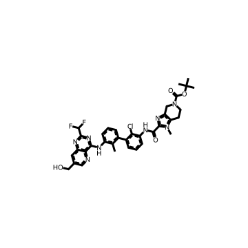 Cc1c(Nc2nc(C(F)F)nc3cc(CO)cnc23)cccc1-c1cccc(NC(=O)c2nc3c(n2C)CCN(C(=O)OC(C)(C)C)C3)c1Cl